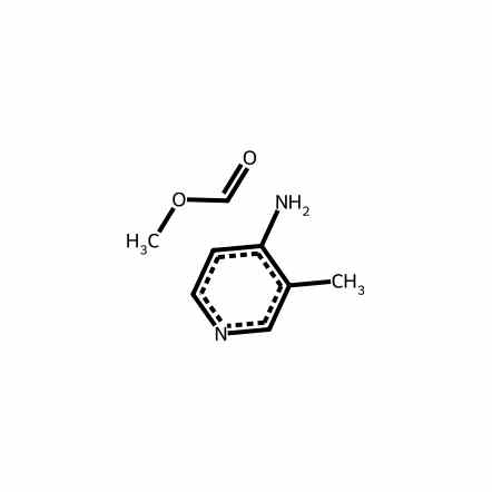 COC=O.Cc1cnccc1N